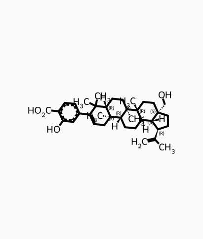 C=C(C)[C@@H]1CC[C@]2(CO)CC[C@]3(C)[C@H](CC[C@@H]4[C@@]5(C)CC=C(c6ccc(C(=O)O)c(O)c6)C(C)(C)[C@@H]5CC[C@]43C)[C@@H]12